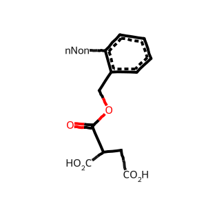 CCCCCCCCCc1ccccc1COC(=O)C(CC(=O)O)C(=O)O